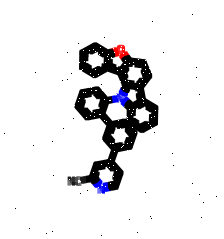 N#Cc1cc(-c2cccc(-c3ccccc3-n3c4ccccc4c4ccc5oc6ccccc6c5c43)c2)ccn1